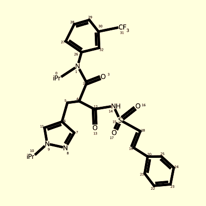 CC(C)N(C(=O)C(Cc1cnn(C(C)C)c1)C(=O)NS(=O)(=O)C=Cc1ccccc1)c1cccc(C(F)(F)F)c1